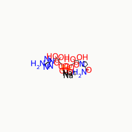 NC(=O)C1=CN(C2OC(COP(=O)([O-])OP(=O)([O-])OCC3OC(n4cnc5c(N)ncnc54)C(O)C3O)C(O)C2O)C=CC1.[Na+].[Na+]